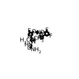 Cc1c(NCC(N)=O)nn(C)c1-c1cc(OC2CN(C(=O)N3N=CCC3c3cc(F)cc(F)c3)C2)c(F)cn1